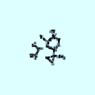 CC1(c2ccc(C(F)(F)F)c(F)c2)CC1.CCOC=O